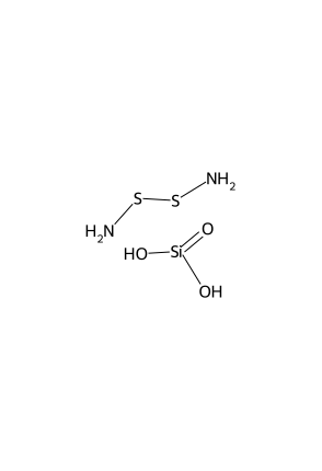 NSSN.O=[Si](O)O